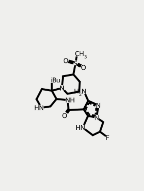 CCC(C)C1(N2CCCC(S(C)(=O)=O)C2)CCNCC1NC(=O)c1c(N)nn2c1NCC(F)C2